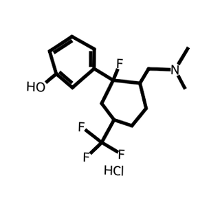 CN(C)CC1CCC(C(F)(F)F)CC1(F)c1cccc(O)c1.Cl